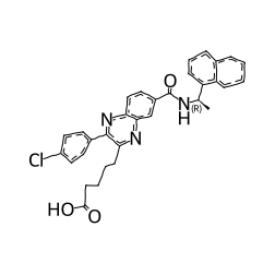 C[C@@H](NC(=O)c1ccc2nc(-c3ccc(Cl)cc3)c(CCCCC(=O)O)nc2c1)c1cccc2ccccc12